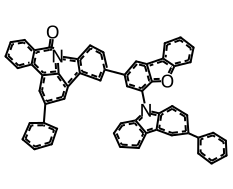 O=c1c2ccccc2c2cc(-c3ccccc3)cc3c4cc(-c5cc(-n6c7ccccc7c7cc(-c8ccccc8)ccc76)c6oc7ccccc7c6c5)ccc4n1c23